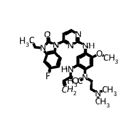 C=CC(=O)Nc1cc(Nc2nccc(-n3c(=O)n(CC)c4cc(F)ccc43)n2)c(OC)cc1N(C)CCN(C)C